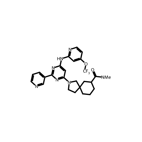 CNC(=O)C1CCCC2(CCN(c3cc(Nc4cc(OC(F)(F)F)ccn4)nc(-c4cccnc4)n3)C2)C1